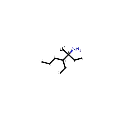 [Li][C](N)(CC)C(CC)CCC